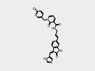 O=C1Nc2cc(/C=C/CNC(=O)c3cccn(Cc4ccc(Cl)nc4)c3=O)ccc2/C1=C/c1cnc[nH]1